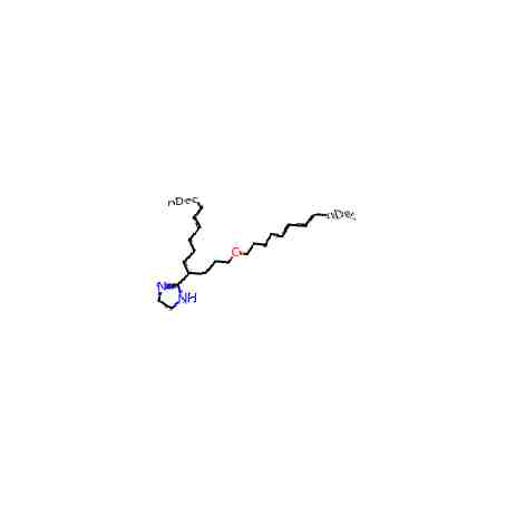 CCCCCCCCCCCCCCCCCCOCCCC(CCCCCCCCCCCCCCCC)C1=NCCN1